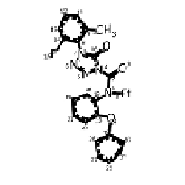 CCN(C(=O)n1nnn(-c2c(C)cccc2F)c1=O)c1ccccc1Oc1ccccc1